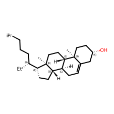 CC[C@H](CCCC(C)C)[C@H]1CC[C@H]2[C@@H]3CC=C4C[C@@H](O)CC[C@]4(C)[C@H]3CC[C@]12C